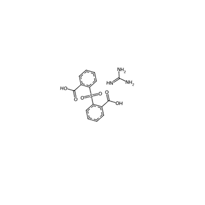 N=C(N)N.O=C(O)c1ccccc1S(=O)(=O)c1ccccc1C(=O)O